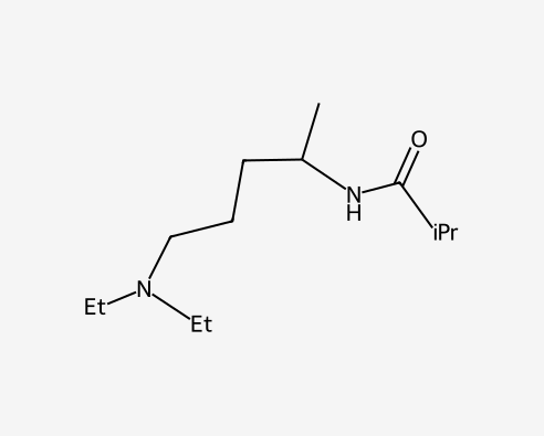 CCN(CC)CCCC(C)NC(=O)C(C)C